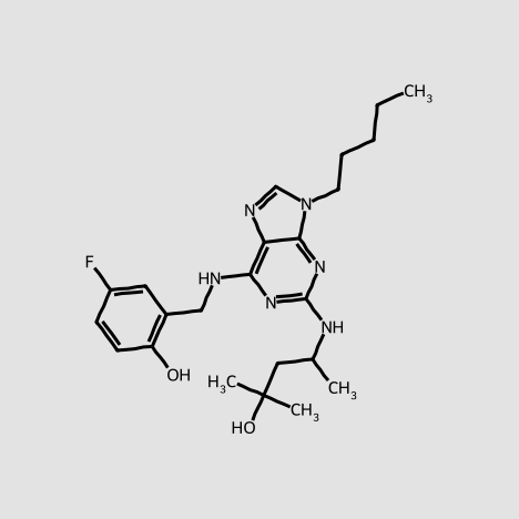 CCCCCn1cnc2c(NCc3cc(F)ccc3O)nc(NC(C)CC(C)(C)O)nc21